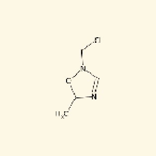 CC1N=CN(CCl)O1